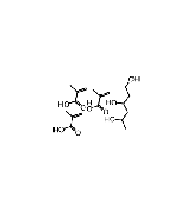 C=C(C)C(=O)O.C=C(C)C(=O)O.C=C(C)C(=O)O.CC(O)CC(O)CCO